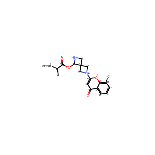 CCCCCC(C)C(=O)OC1NCC12CN(c1cc(=O)c3cccc(Cl)c3o1)C2